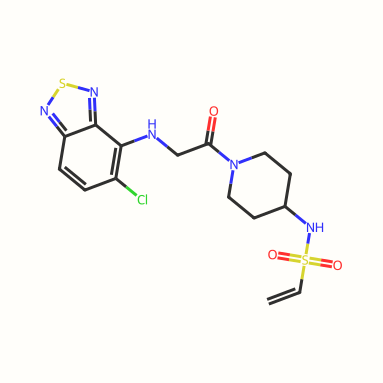 C=CS(=O)(=O)NC1CCN(C(=O)CNc2c(Cl)ccc3nsnc23)CC1